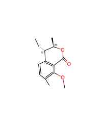 CC[C@H]1c2ccc(C)c(OC)c2C(=O)O[C@@H]1C